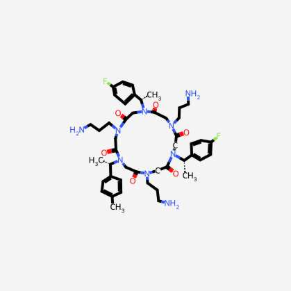 Cc1ccc([C@H](C)N2CC(=O)N(CCCN)CC(=O)N([C@@H](C)c3ccc(F)cc3)CC(=O)N(CCCN)CC(=O)N([C@@H](C)c3ccc(F)cc3)CC(=O)N(CCCN)CC2=O)cc1